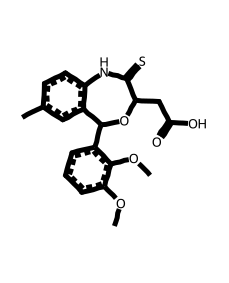 COc1cccc(C2OC(CC(=O)O)C(=S)Nc3ccc(C)cc32)c1OC